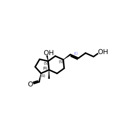 C[C@]12CC[C@H](/C=C/CCO)C[C@@]1(O)CC[C@@H]2C=O